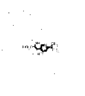 CN(C)c1ccc(C[C@H](N)C(=O)O)cn1.Cl